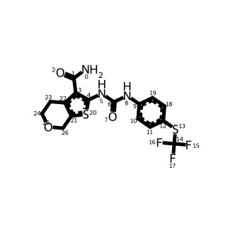 NC(=O)c1c(NC(=O)Nc2ccc(SC(F)(F)F)cc2)sc2c1CCOC2